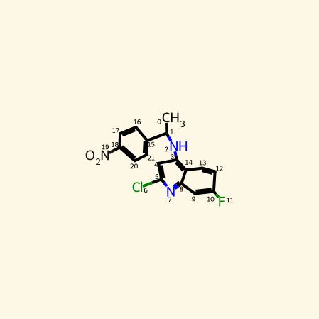 CC(Nc1cc(Cl)nc2cc(F)ccc12)c1ccc([N+](=O)[O-])cc1